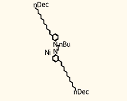 CCCCCCCCCCCCCCCCCCCC=Cc1cccc(N=CC(CCCC)=Nc2cccc(C=CCCCCCCCCCCCCCCCCCCC)c2)c1.[Ni]